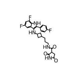 O=C1CC(C(=O)NCCCC2CC(Nc3c(-c4ccc(F)cc4)[nH]c4c(F)cc(F)cc34)C2)C(=O)N1